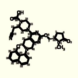 CN1C(=O)CC[C@H]1COc1nc2c(c(N3CCN(C(=O)O)C(CC#N)C3)n1)CCN(c1cccc3cccc(Cl)c13)C2